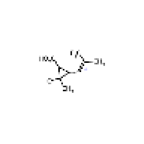 C/C(=C/C1C(C(=O)O)C1(C)C)C(F)(F)F